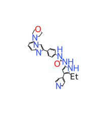 CCc1[nH]c(NC(=O)Nc2ccc(-c3cn4c(N5CCOCC5)cccc4n3)cc2)cc1-c1ccncc1